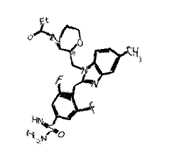 CCC(=O)N1CCO[C@@H](Cn2c(-c3c(F)cc(S(=N)(N)=O)cc3F)nc3cc(C)ccc32)C1